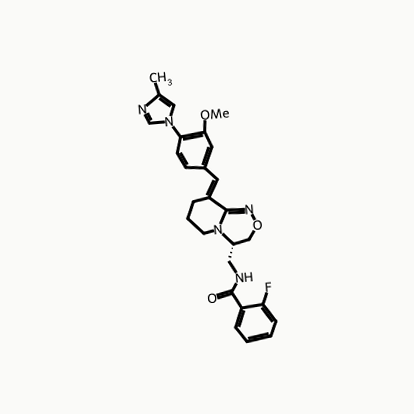 COc1cc(/C=C2\CCCN3C2=NOC[C@@H]3CNC(=O)c2ccccc2F)ccc1-n1cnc(C)c1